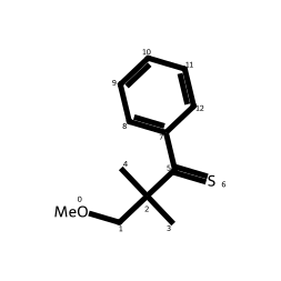 COCC(C)(C)C(=S)c1ccccc1